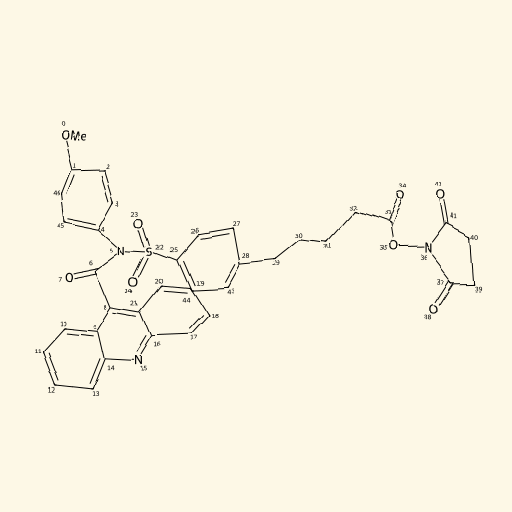 COc1ccc(N(C(=O)c2c3ccccc3nc3ccccc23)S(=O)(=O)c2ccc(CCCCC(=O)ON3C(=O)CCC3=O)cc2)cc1